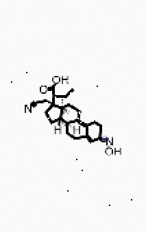 CCC(C(=O)O)[C@@]1(CC#N)CC[C@H]2[C@@H]3CCC4=C/C(=N\O)CCC4=C3CC[C@@]21C